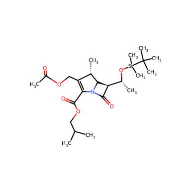 CC(=O)OCC1=C(C(=O)OCC(C)C)N2C(=O)[C@H]([C@@H](C)O[Si](C)(C)C(C)(C)C)C2[C@H]1C